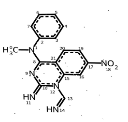 CN(c1ccccc1)c1nc(=N)n(C=N)c2cc([N+](=O)[O-])ccc12